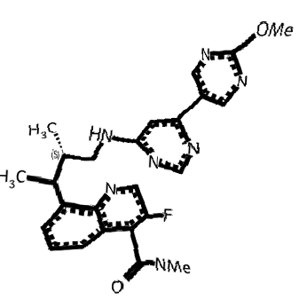 CNC(=O)c1c(F)cnc2c(C(C)[C@H](C)CNc3cc(-c4cnc(OC)nc4)ncn3)cccc12